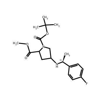 COC(=O)C1CC(N[C@@H](C)c2ccc(F)cc2)CN1C(=O)OC(C)(C)C